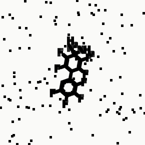 NC1(N)C(F)=C(F)C(c2cc(F)c(F)c(F)c2F)C(F)=C1F